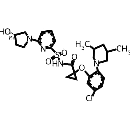 CC1CC(C)CN(c2ccc(Cl)cc2OC2(C(=O)NS(=O)(=O)c3cccc(N4CC[C@H](O)C4)n3)CC2)C1